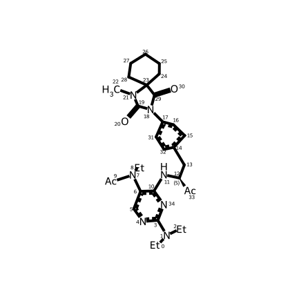 CCN(CC)c1ncc(N(CC)C(C)=O)c(N[C@@H](Cc2ccc(N3C(=O)N(C)C4(CCCCC4)C3=O)cc2)C(C)=O)n1